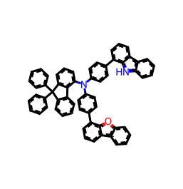 c1ccc(C2(c3ccccc3)c3ccccc3-c3c(N(c4ccc(-c5cccc6c5[nH]c5ccccc56)cc4)c4ccc(-c5cccc6c5oc5ccccc56)cc4)cccc32)cc1